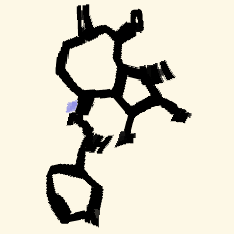 O=C1NCC/C(=N/Nc2cccnc2)c2c1[nH]c(Br)c2Br